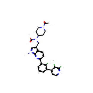 CC(=O)N1CCC(N(Cc2cn(C)c3nc(-c4cccc(-c5ccnc(Cl)c5Cl)c4Cl)ccc23)C(=O)O)CC1